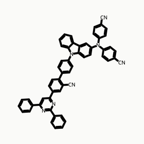 N#Cc1ccc(N(c2ccc(C#N)cc2)c2ccc3c(c2)c2ccccc2n3-c2ccc(-c3ccc(-c4cc(-c5ccccc5)nc(-c5ccccc5)n4)cc3C#N)cc2)cc1